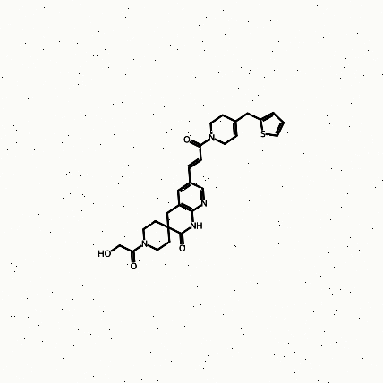 O=C(/C=C/c1cnc2c(c1)CC1(CCN(C(=O)CO)CC1)C(=O)N2)N1CC=C(Cc2cccs2)CC1